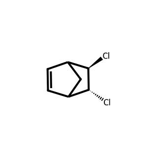 Cl[C@@H]1C2C=CC(C2)[C@H]1Cl